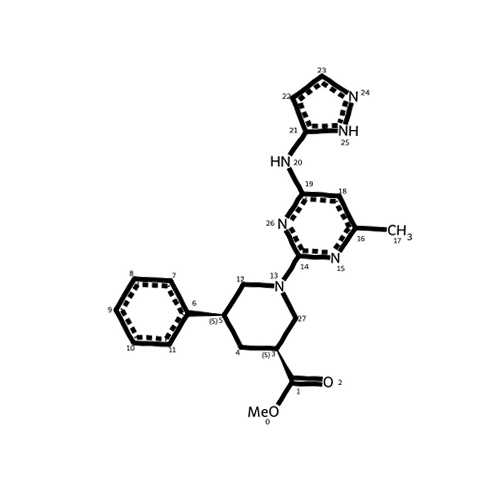 COC(=O)[C@H]1C[C@@H](c2ccccc2)CN(c2nc(C)cc(Nc3ccn[nH]3)n2)C1